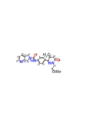 COCCN1N=C(c2ccc(NC(=O)N3Cc4cccnc4C3)cc2)C(C)CC1=O